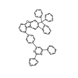 c1ccc(-c2cc(-c3ccc(-c4cccc5oc6cc7c(cc6c45)-c4ccccc4C7(c4ccccc4)c4ccccc4)cc3)nc(-c3ccccc3)n2)cc1